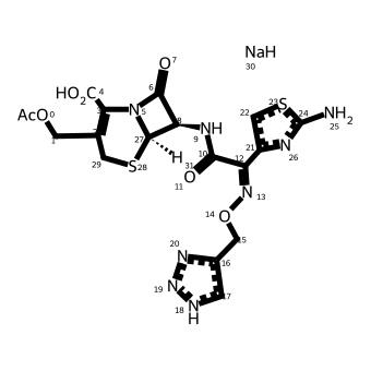 CC(=O)OCC1=C(C(=O)O)N2C(=O)[C@@H](NC(=O)/C(=N\OCc3c[nH]nn3)c3csc(N)n3)[C@H]2SC1.[NaH]